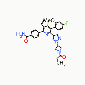 C=CC(=O)N1CC(n2cc(-c3nc(-c4ccc(C(N)=O)cc4)c4ccsc4c3-c3ccc(F)cc3OC)cn2)C1